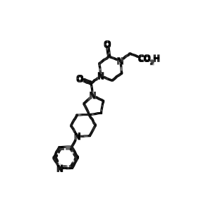 O=C(O)CN1CCN(C(=O)N2CCC3(CCN(c4ccncc4)CC3)C2)CC1=O